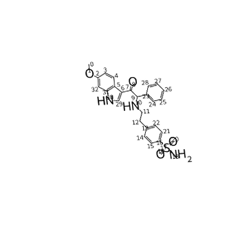 COc1ccc2c(C(=O)C(NCCc3ccc(S(N)(=O)=O)cc3)c3ccccc3)c[nH]c2c1